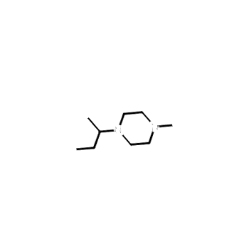 [CH2]CC(C)N1CCN(C)CC1